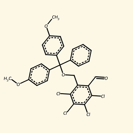 COc1ccc(C(OCc2c(Cl)c(Cl)c(Cl)c(Cl)c2[C]=O)(c2ccccc2)c2ccc(OC)cc2)cc1